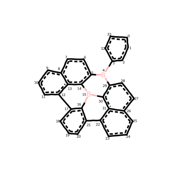 c1ccc(B2c3ccc4cccc5c4c3B3c4c-5cccc4-c4cccc5ccc2c3c45)cc1